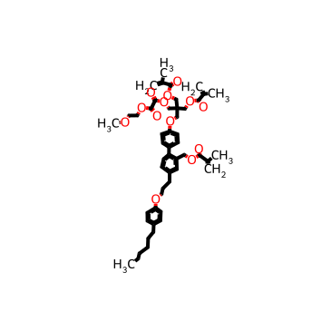 C=C(C)C(=O)OCc1cc(CCCOc2ccc(CCCCCC)cc2)ccc1-c1ccc(OCC(COC(=O)C(=C)C)(COC(=O)C(=C)C)COC(=O)C(=O)OCCOC)cc1